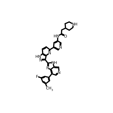 Cc1cc(F)cc(-c2cncc3[nH]c(-c4n[nH]c5ccc(-c6cncc(NC(=O)CC7CCNCC7)c6)nc45)nc23)c1